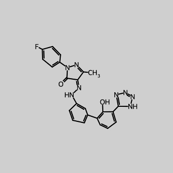 CC1=NN(c2ccc(F)cc2)C(=O)C1=NNc1cccc(-c2cccc(-c3nnn[nH]3)c2O)c1